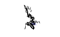 N=C(/C=C\c1ncc(-c2cccc(N3CCN(CCOCCN)CC3)n2)[nH]1)N1CCCC1c1cccc(F)c1